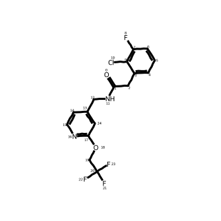 O=C(Cc1cccc(F)c1Cl)NCc1ccnc(OCC(F)(F)F)c1